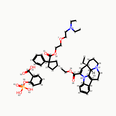 CCN(CC)CCOCCOC(=O)C1(c2ccccc2)CCCC1.CCOC(=O)C1=C[C@]2(CC)CCCN3CCc4c(n1c1ccccc41)[C@@H]32.O=C(O)c1ccccc1OP(=O)(O)O